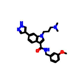 COc1cccc(CNC(=O)c2cn(CCCN(C)C)c3cc(-c4cn[nH]c4)ccc23)c1